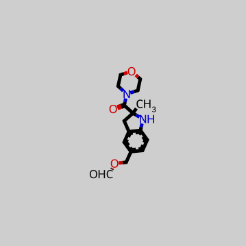 CC1(C(=O)N2CCOCC2)Cc2cc(COC=O)ccc2N1